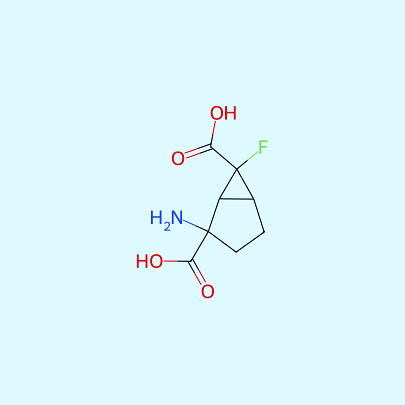 NC1(C(=O)O)CCC2C1C2(F)C(=O)O